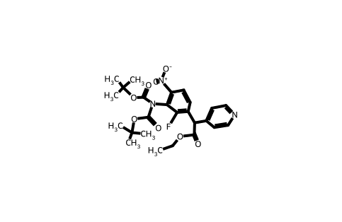 CCOC(=O)C(c1ccncc1)c1ccc([N+](=O)[O-])c(N(C(=O)OC(C)(C)C)C(=O)OC(C)(C)C)c1F